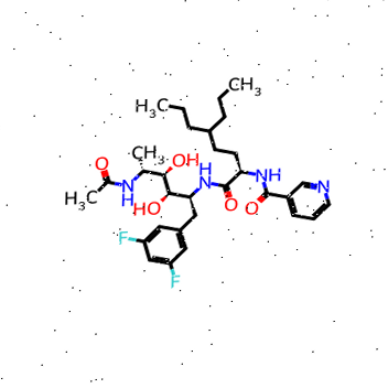 CCCC(CCC)CC[C@@H](NC(=O)c1cccnc1)C(=O)N[C@@H](Cc1cc(F)cc(F)c1)[C@@H](O)[C@H](O)[C@@H](C)NC(C)=O